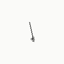 CCCCCCCCCCCCCCCOS(=O)OC(C)C